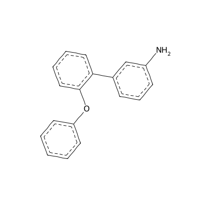 Nc1cccc(-c2ccccc2Oc2ccccc2)c1